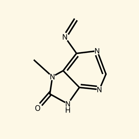 C=Nc1ncnc2[nH]c(=O)n(C)c12